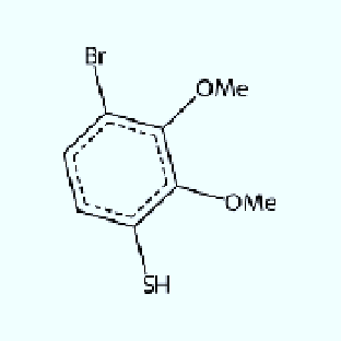 COc1c(S)ccc(Br)c1OC